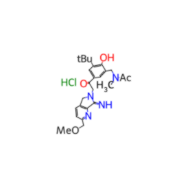 COCc1ccc2c(n1)C(=N)N(CC(=O)c1cc(CN(C)C(C)=O)c(O)c(C(C)(C)C)c1)C2.Cl